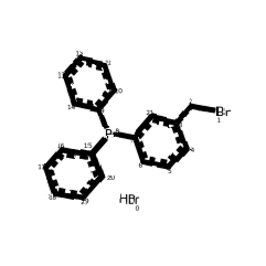 Br.BrCc1cccc(P(c2ccccc2)c2ccccc2)c1